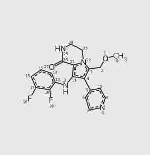 COCc1c(-c2ccncc2)c(Nc2cccc(F)c2F)c2n1CCNC2=O